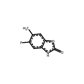 [CH2]c1cc2oc(=O)[nH]c2cc1F